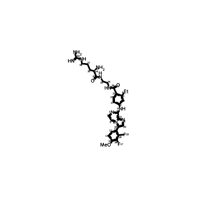 CCc1cc(Nc2nccn3c(-c4ccc(OC)c(F)c4F)cnc23)ccc1C(=O)NCCNC(=O)[C@H](N)CCCNC(=N)N